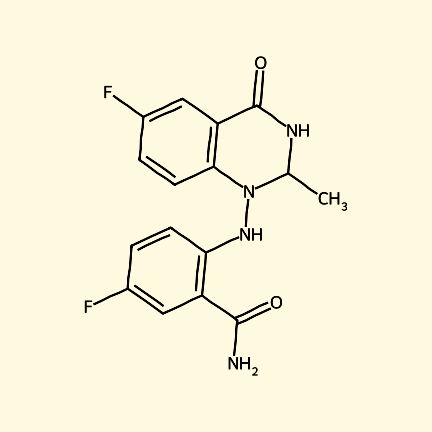 CC1NC(=O)c2cc(F)ccc2N1Nc1ccc(F)cc1C(N)=O